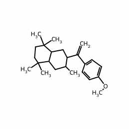 C=C(c1ccc(OC)cc1)C1CC2C(CC1C)C(C)(C)CCC2(C)C